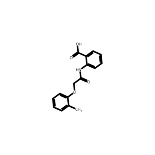 Cc1ccccc1OCC(=O)Nc1ccccc1C(=O)O